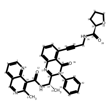 Cc1ncc2cccnc2c1C(=O)N[C@@H](C)c1nc2cccc(C#CCNC(=O)[C@H]3CCCO3)c2c(=O)n1-c1ccccc1